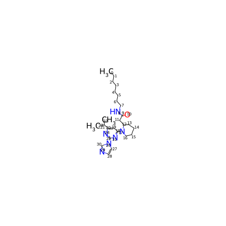 CCCCCCCCNC(=O)CC1CCCCN1c1cc(C(C)C)nc(-n2ccnc2)n1